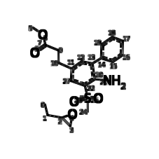 CCC1CO1.COC(=O)CCc1cc(-c2ccccc2)c(N)c(S(C)(=O)=O)c1